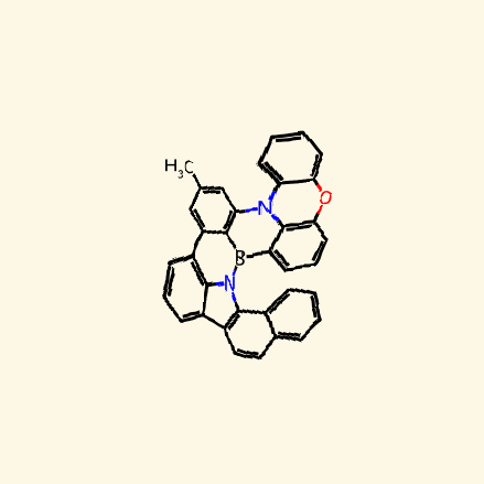 Cc1cc2c3c(c1)N1c4ccccc4Oc4cccc(c41)B3n1c3c-2cccc3c2ccc3ccccc3c21